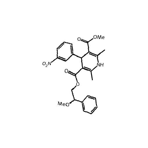 COC(=O)C1=C(C)NC(C)=C(C(=O)OCC(OC)c2ccccc2)C1c1cccc([N+](=O)[O-])c1